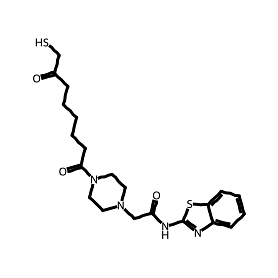 O=C(CS)CCCCCC(=O)N1CCN(CC(=O)Nc2nc3ccccc3s2)CC1